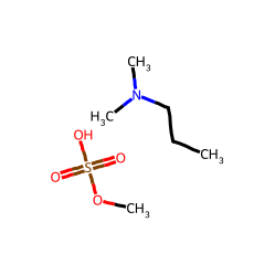 CCCN(C)C.COS(=O)(=O)O